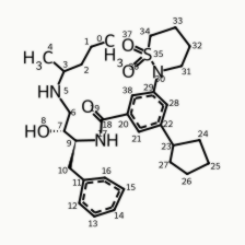 CCCC(C)NC[C@@H](O)[C@H](Cc1ccccc1)NC(=O)c1cc(C2CCCC2)cc(N2CCCCS2(=O)=O)c1